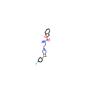 O=C(NCCN1CC2CC(c3ccc(F)cc3)C2C1)c1cc2ccccc2o1